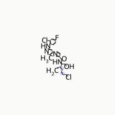 C=C/C(=C\C=C/CCl)C(CO)NC(=O)c1ccn(-c2cc(Nc3ccc(F)cc3Cl)ncc2C)c1